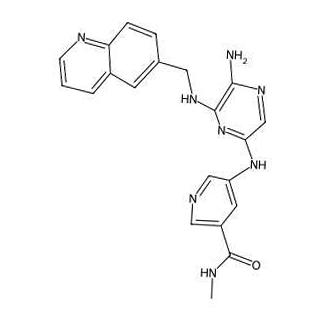 CNC(=O)c1cncc(Nc2cnc(N)c(NCc3ccc4ncccc4c3)n2)c1